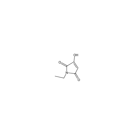 CCN1C(=O)C=C(O)C1=O